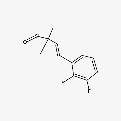 CC(C)(C=Cc1cccc(F)c1F)[S+]=O